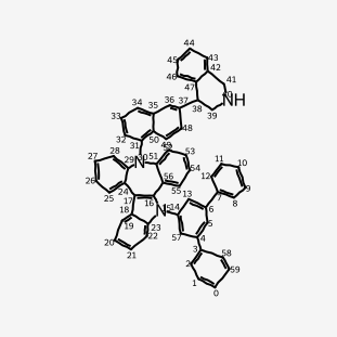 c1ccc(-c2cc(-c3ccccc3)cc(-n3c4c(c5ccccc53)-c3ccccc3N(c3cccc5cc(C6CNCc7ccccc76)ccc35)c3ccccc3-4)c2)cc1